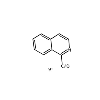 O=Cc1nccc2ccccc12.[H+]